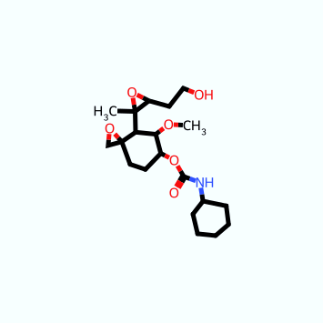 COC1C(OC(=O)NC2CCCCC2)CCC2(CO2)C1C1(C)OC1CCO